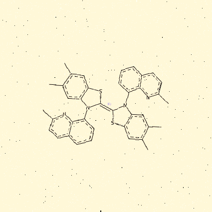 Cc1ccc2cccc(N3/C(=C4\Sc5cc(C)c(C)cc5N4c4cccc5ccc(C)nc45)Sc4cc(C)c(C)cc43)c2n1